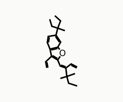 C=C/C(=C\c1oc2cc(C(C)(CC)CC)ccc2c1C=C)C(C)(C)CC